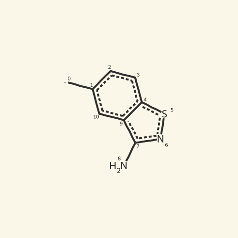 [CH2]c1ccc2snc(N)c2c1